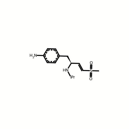 CC(C)N[C@H](/C=C/S(C)(=O)=O)Cc1ccc(N)cc1